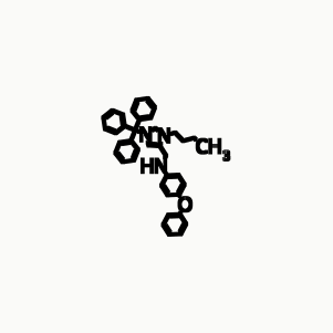 CCCCN1CN(C(c2ccccc2)(c2ccccc2)c2ccccc2)C=C1CNc1ccc(Oc2ccccc2)cc1